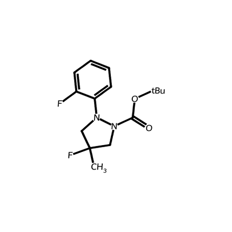 CC1(F)CN(C(=O)OC(C)(C)C)N(c2ccccc2F)C1